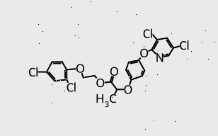 CC(Oc1ccc(Oc2ncc(Cl)cc2Cl)cc1)C(=O)OCCOc1ccc(Cl)cc1Cl